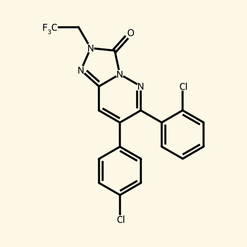 O=c1n(CC(F)(F)F)nc2cc(-c3ccc(Cl)cc3)c(-c3ccccc3Cl)nn12